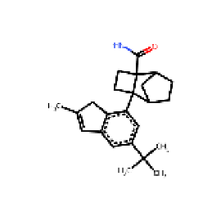 CC1=Cc2cc(C(C)(C)C)cc(C34CCC3(C([NH])=O)C3CCC4C3)c2C1